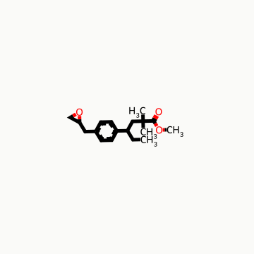 CCC(CC(C)(C)C(=O)OC)c1ccc(CC2CO2)cc1